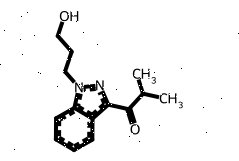 CC(C)C(=O)c1nn(CCCO)c2ccccc12